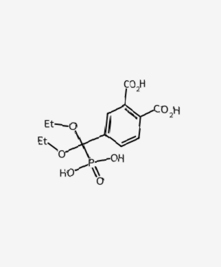 CCOC(OCC)(c1ccc(C(=O)O)c(C(=O)O)c1)P(=O)(O)O